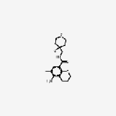 Cc1cc(C(=O)NCC2(O)CCNCC2)c2c(c1N)CCCO2